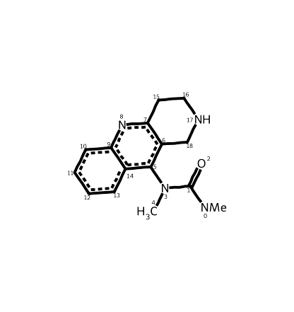 CNC(=O)N(C)c1c2c(nc3ccccc13)CCNC2